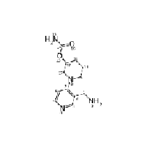 NCc1cnccc1N1CCC[C@H](OC(N)=O)C1